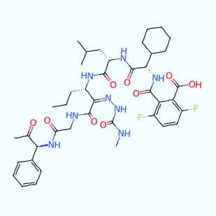 CCC[C@H](NC(=O)[C@H](CC(C)C)NC(=O)[C@@H](NC(=O)c1c(F)ccc(F)c1C(=O)O)C1CCCCC1)C(=NNC(=O)NC)C(=O)NCC(=O)N[C@H](C(C)=O)c1ccccc1